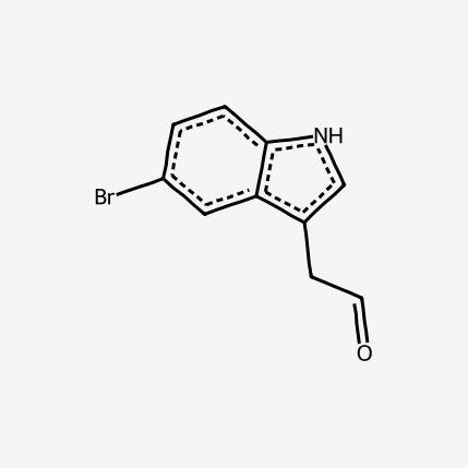 O=CCc1c[nH]c2ccc(Br)cc12